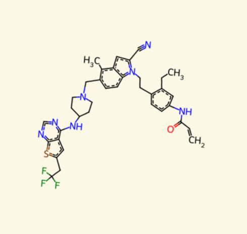 C=CC(=O)Nc1ccc(CCn2c(C#N)cc3c(C)c(CN4CCC(Nc5ncnc6sc(CC(F)(F)F)cc56)CC4)ccc32)c(CC)c1